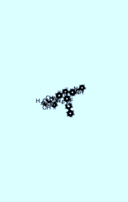 CC(C)[C@H](NC(=O)O)C(=O)N1CCC[C@H]1c1nc2cc([C@H]3CC[C@H](c4ccc5[nH]c(C6CCCC6)nc5c4)N3c3cc(F)c(N4CCC(c5ccccc5)CC4)c(F)c3)ccc2[nH]1